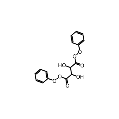 O=C(OOc1ccccc1)C(O)C(O)C(=O)OOc1ccccc1